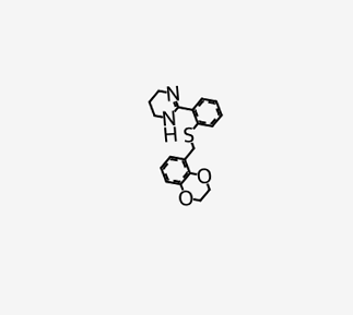 c1cc(CSc2ccccc2C2=NCCCN2)c2c(c1)OCCO2